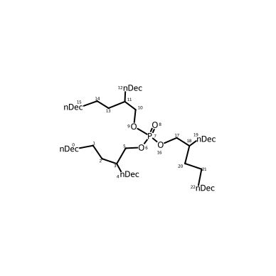 CCCCCCCCCCCCC(CCCCCCCCCC)COP(=O)(OCC(CCCCCCCCCC)CCCCCCCCCCCC)OCC(CCCCCCCCCC)CCCCCCCCCCCC